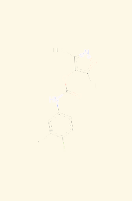 Cc1cc(NC(=O)Oc2c(C)noc2C)ccc1F